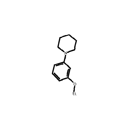 CCOc1cccc(N2CCCCC2)c1